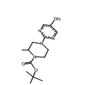 CC1CN(c2ncc(O)cn2)CCN1C(=O)OC(C)(C)C